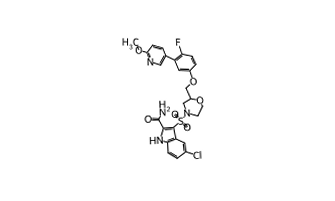 COc1ccc(-c2cc(OCC3CN(S(=O)(=O)c4c(C(N)=O)[nH]c5ccc(Cl)cc45)CCO3)ccc2F)cn1